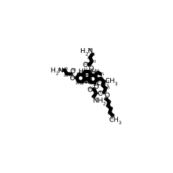 CCCCCCCOC(=O)CC[C@@H](C)[C@H]1CC[C@H]2[C@@H]3[C@H](OC(=O)CCCN)C[C@@H]4C[C@H](OC(=O)CCN)CC[C@]4(C)[C@H]3C[C@H](OC(=O)CCN)[C@]12C